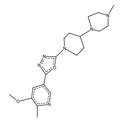 COc1cc(-c2nnc(N3CCC(N4CCN(C)CC4)CC3)o2)cnc1C